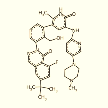 Cc1[nH]c(=O)c(Nc2ccc(N3CCN(C)CC3)cn2)cc1-c1cccc(-n2ncc3cc(C(C)(C)C)cc(F)c3c2=O)c1CO